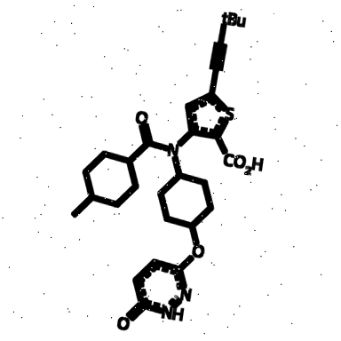 CC1CCC(C(=O)N(c2cc(C#CC(C)(C)C)sc2C(=O)O)C2CCC(Oc3ccc(=O)[nH]n3)CC2)CC1